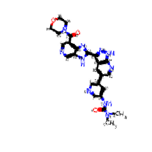 CN(C)C(=O)Nc1cncc(-c2cnc3[nH]nc(-c4nc5c(C(=O)N6CCOCC6)cncc5[nH]4)c3c2)c1